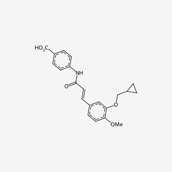 COc1ccc(C=CC(=O)Nc2ccc(C(=O)O)cc2)cc1OCC1CC1